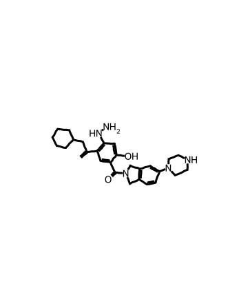 C=C(CC1CCCCC1)c1cc(C(=O)N2Cc3ccc(N4CCNCC4)cc3C2)c(O)cc1NN